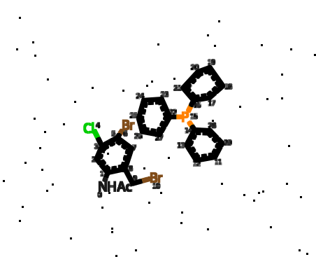 CC(=O)Nc1cc(Cl)c(Br)cc1CBr.c1ccc(P(c2ccccc2)c2ccccc2)cc1